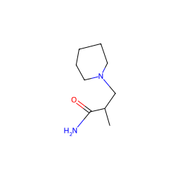 CC(CN1CCCCC1)C(N)=O